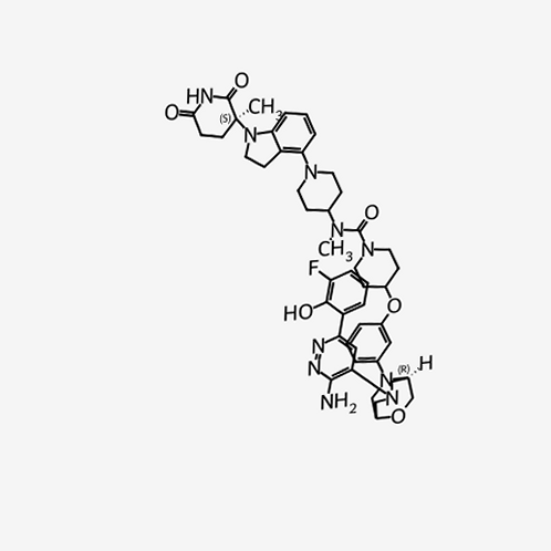 CN(C(=O)N1CCC(Oc2cccc(N3CC4CN(c5cc(-c6cccc(F)c6O)nnc5N)C[C@@H]3CO4)c2)CC1)C1CCN(c2cccc3c2CCN3[C@@]2(C)CCC(=O)NC2=O)CC1